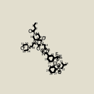 CCCC(=O)N1CCC2(CC1)C(=O)N(Cc1nc(-c3ccc(Oc4ccccc4S(=O)(=O)CC(C)C)c(C(F)(F)F)c3)no1)C(=O)N2CCN1CCOCC1